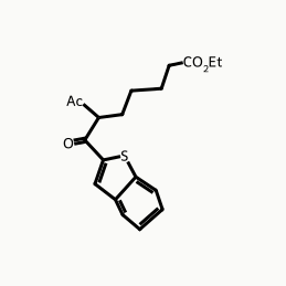 CCOC(=O)CCCCC(C(C)=O)C(=O)c1cc2ccccc2s1